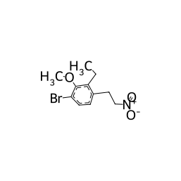 CCc1c(CC[N+](=O)[O-])ccc(Br)c1OC